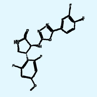 COc1cc(F)c([C@@H]2CNC(=O)[C@H]2Nc2nnc(-c3ccc(F)c(F)c3)o2)c(F)c1